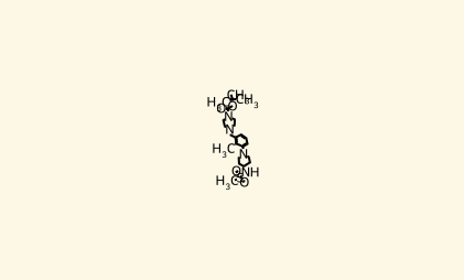 Cc1c(CN2CCN(C(=O)OC(C)(C)C)CC2)cccc1N1CCC(NS(C)(=O)=O)CC1